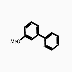 COc1cccc(-c2[c]cccc2)c1